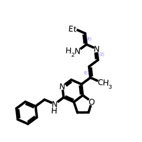 CC/C=C(N)/N=C\C=C(/C)c1cnc(NCc2ccccc2)c2c1OCC2